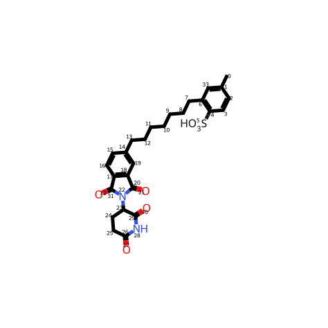 Cc1ccc(S(=O)(=O)O)c(CCCCCCCc2ccc3c(c2)C(=O)N(C2CCC(=O)NC2=O)C3=O)c1